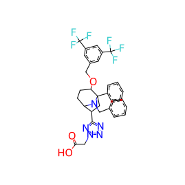 O=C(O)Cn1nnc(C2CC3(c4ccccc4)C(OCc4cc(C(F)(F)F)cc(C(F)(F)F)c4)CCC2N3Cc2ccccc2)n1